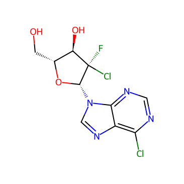 OC[C@H]1O[C@@H](n2cnc3c(Cl)ncnc32)[C@](F)(Cl)[C@@H]1O